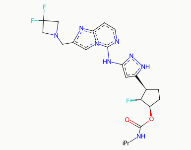 CC(C)NC(=O)O[C@@H]1CC[C@H](c2cc(Nc3nccc4nc(CN5CC(F)(F)C5)cn34)n[nH]2)[C@@H]1F